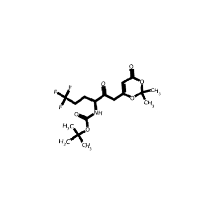 CC(C)(C)OC(=O)NC(CCC(F)(F)F)C(=O)CC1=CC(=O)OC(C)(C)O1